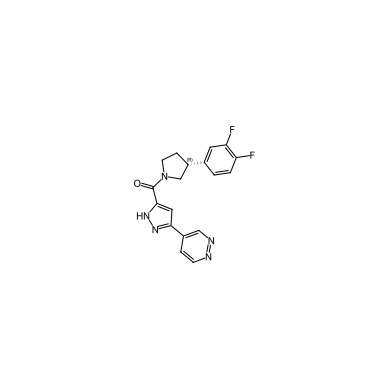 O=C(c1cc(-c2ccnnc2)n[nH]1)N1CC[C@H](c2ccc(F)c(F)c2)C1